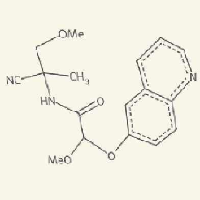 COCC(C)(C#N)NC(=O)C(OC)Oc1ccc2ncccc2c1